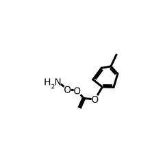 C=C(OON)Oc1ccc(C)cc1